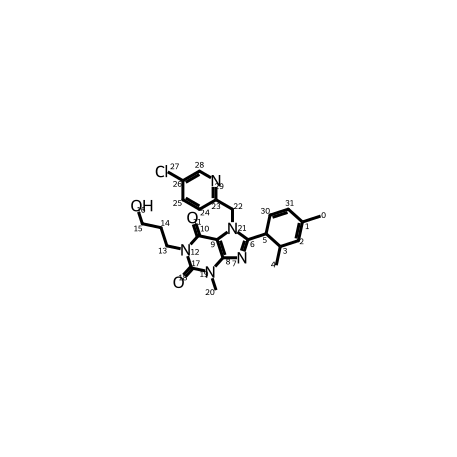 CC1=CC(C)C(c2nc3c(c(=O)n(CCCO)c(=O)n3C)n2Cc2ccc(Cl)cn2)C=C1